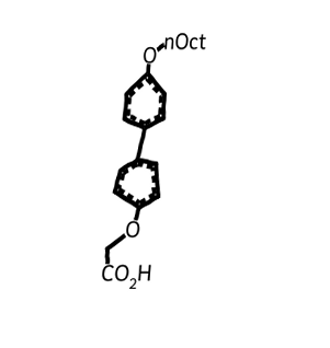 CCCCCCCCOc1ccc(-c2ccc(OCC(=O)O)cc2)cc1